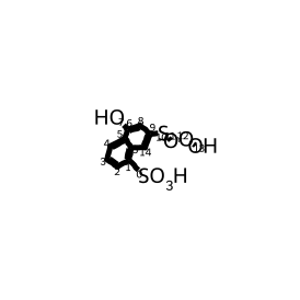 O=S(=O)(O)c1cccc2c(O)cc(SOOO)cc12